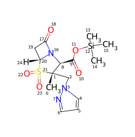 C[C@]1(Cn2cccn2)[C@H](C(=O)O[Si](C)(C)C)N2C(=O)C[C@H]2S1(=O)=O